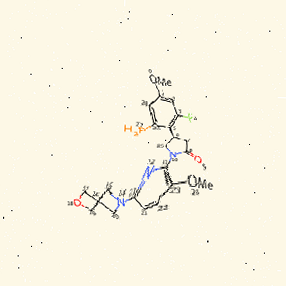 COc1cc(F)c([C@H]2CC(=O)N(c3nc(N4CC5(COC5)C4)ccc3OC)C2)c(P)c1